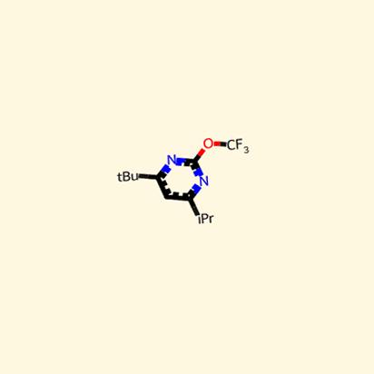 CC(C)c1cc(C(C)(C)C)nc(OC(F)(F)F)n1